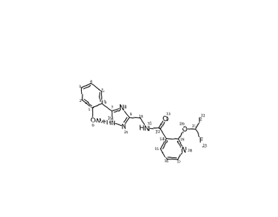 COc1ccccc1-c1nc(CNC(=O)c2cccnc2OC(F)F)n[nH]1